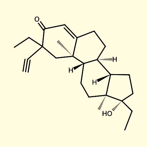 C#CC1(CC)C[C@@]2(C)C(=CC1=O)CC[C@@H]1[C@@H]2CC[C@@]2(C)[C@H]1CC[C@@]2(O)CC